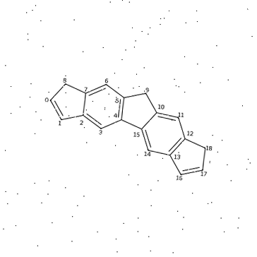 C1=Cc2cc3c(cc2C1)Cc1cc2c(cc1-3)C=CC2